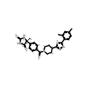 Cc1ccc(-c2nnc(C3CCN(C(=O)c4ccc([C@@]5(C)NC(=O)NC5=O)cc4)CC3)o2)c(C)c1